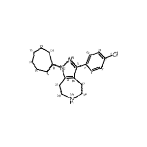 Clc1ccc(-c2nn(C3CCCCCC3)c3c2CCNCC3)cc1